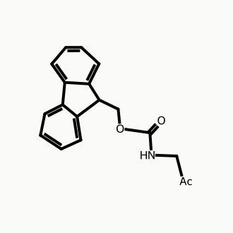 CC(=O)CNC(=O)OCC1c2ccccc2-c2ccccc21